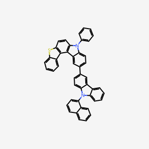 c1ccc(-n2c3ccc(-c4ccc5c(c4)c4ccccc4n5-c4cccc5ccccc45)cc3c3c4c(ccc32)sc2ccccc24)cc1